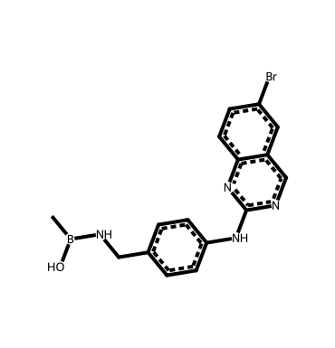 CB(O)NCc1ccc(Nc2ncc3cc(Br)ccc3n2)cc1